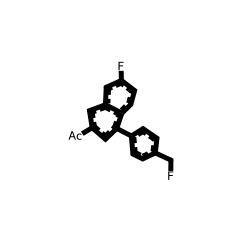 CC(=O)c1cc(-c2ccc(CF)cc2)c2ccc(F)cc2c1